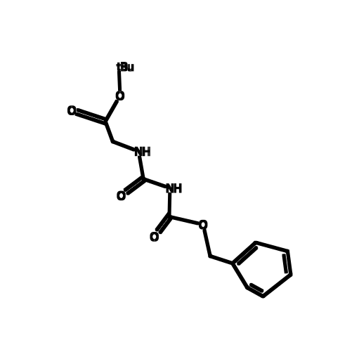 CC(C)(C)OC(=O)CNC(=O)NC(=O)OCc1ccccc1